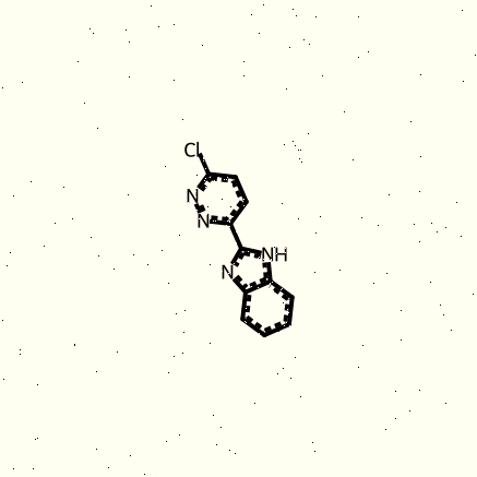 Clc1ccc(-c2nc3ccccc3[nH]2)nn1